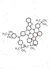 CC(C)(C)c1ccc(N2B3c4c(cc5c(oc6ccccc65)c4N(c4ccc(C(C)(C)C)cc4-c4ccccc4)c4ccc5c(sc6ccccc65)c43)-c3ccc(N(c4ccc(C(C)(C)C)cc4)c4ccc(C(C)(C)C)cc4)cc32)cc1